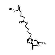 CC(C)(C)OC(=O)COCC(=O)OCCOCn1cnc2c(=O)[nH]c(N)nc21